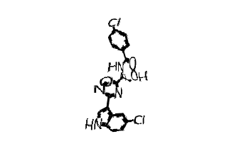 O=C(N[C@@H](CO)c1nc(-c2c[nH]c3ccc(Cl)cc23)no1)c1ccc(Cl)cc1